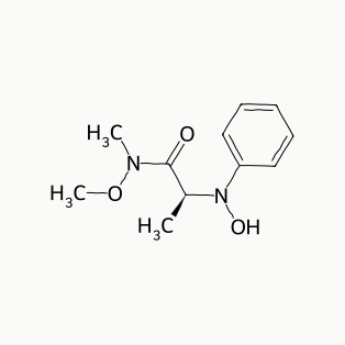 CON(C)C(=O)[C@H](C)N(O)c1ccccc1